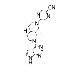 C[C@@]12CN(c3cnc(C#N)cn3)CC[C@@H]1CCN(c1ncnc3[nH]ccc13)C2